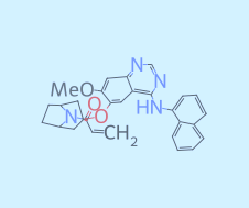 C=CC(=O)N1C2CCC1CC(Oc1cc3c(Nc4cccc5ccccc45)ncnc3cc1OC)C2